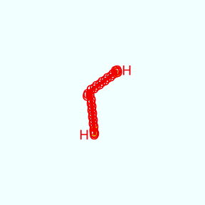 COC(OC)(C(=O)c1ccc(OCCOCCOCCOCCOCCOCCOCCOCCOCCOSOOO)cc1)c1ccc(OCCOCCOCCOCCOCCOCCOCCOCCOCCOS(=O)(=O)O)cc1